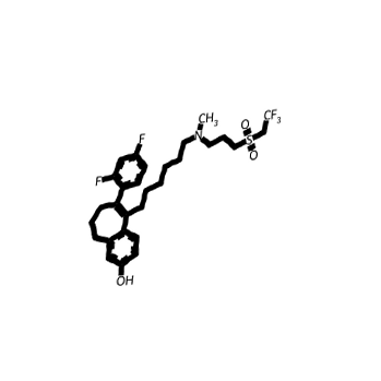 CN(CCCCCCC1=C(c2ccc(F)cc2F)CCCc2cc(O)ccc21)CCCS(=O)(=O)CC(F)(F)F